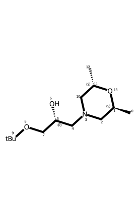 C[C@H]1CN(C[C@@H](O)COC(C)(C)C)C[C@H](C)O1